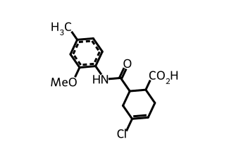 COc1cc(C)ccc1NC(=O)C1CC(Cl)=CCC1C(=O)O